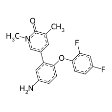 Cc1cc(-c2cc(N)ccc2Oc2ccc(F)cc2F)cn(C)c1=O